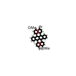 COc1ccc(-c2c3ccccc3c(-c3ccc(C(C)C)cc3)c3c(-c4ccc(OC)cc4)c4ccccc4c(-c4ccc(C(C)C)cc4)c23)cc1